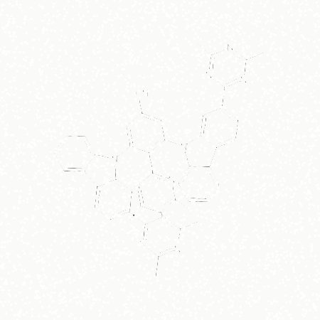 Cc1cc(C)nc(-c2c(-n3c4ccccc4c4ccc(-c5nc(C)nc(C)n5)cc43)cc(C#N)cc2-n2c3ccccc3c3ccc(-c4nc(C)nc(C)n4)cc32)n1